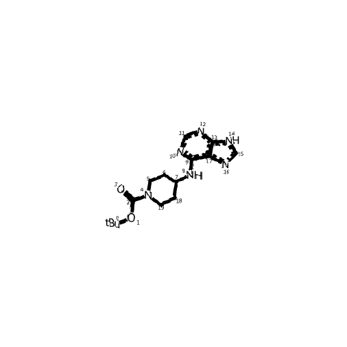 CC(C)(C)OC(=O)N1CCC(Nc2ncnc3[nH]cnc23)CC1